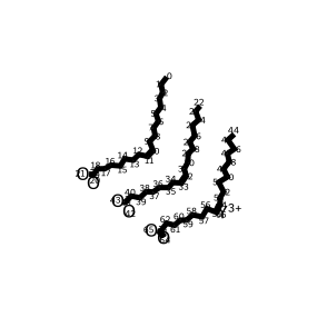 CCCCCCCCCC/C=C\CCCCCCCC(=O)[O-].CCCCCCCCCC/C=C\CCCCCCCC(=O)[O-].CCCCCCCCCC/C=C\CCCCCCCC(=O)[O-].[Y+3]